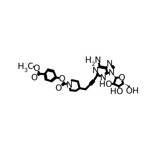 COC(=O)c1ccc(OC(=O)N2CCC(CC#Cc3nc(N)c4ncn([C@@H]5O[C@H](CO)C(O)C5O)c4n3)CC2)cc1